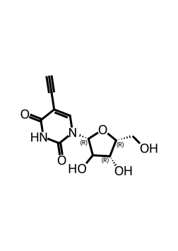 C#Cc1cn([C@@H]2O[C@H](CO)[C@H](O)C2O)c(=O)[nH]c1=O